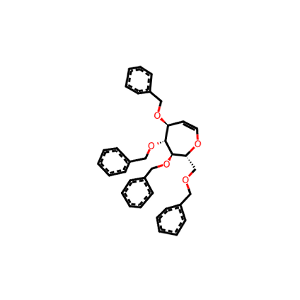 C1=C[C@H](OCc2ccccc2)[C@@H](OCc2ccccc2)[C@H](OCc2ccccc2)[C@@H](COCc2ccccc2)O1